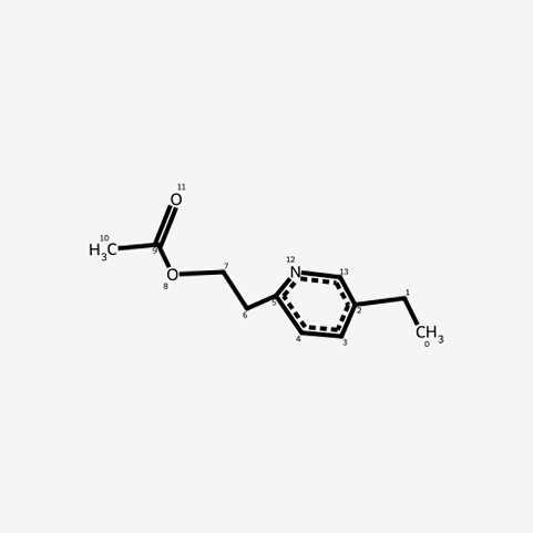 CCc1ccc(CCOC(C)=O)nc1